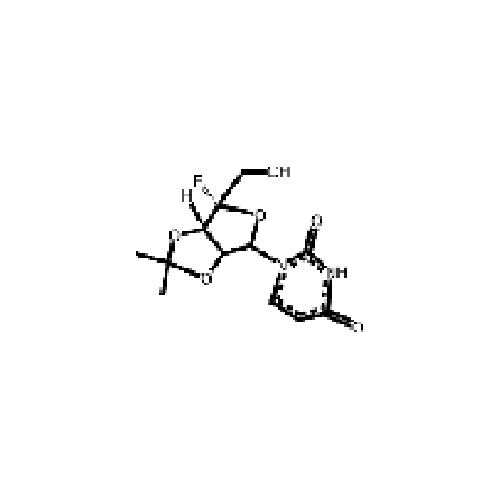 CC1(C)OC2C(n3ccc(=O)[nH]c3=O)O[C@](F)(CO)[C@H]2O1